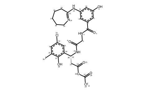 O=C(CNC(=O)c1cc(O)cc(NC2=NCCCCC2)c1)N[C@H](CC(=O)OC(=O)C(F)(F)F)c1cc(Cl)cc(I)c1O